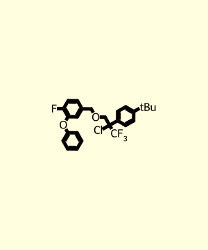 CC(C)(C)c1ccc(C(Cl)(COCc2ccc(F)c(Oc3ccccc3)c2)C(F)(F)F)cc1